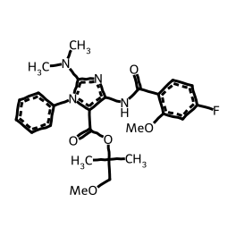 COCC(C)(C)OC(=O)c1c(NC(=O)c2ccc(F)cc2OC)nc(N(C)C)n1-c1ccccc1